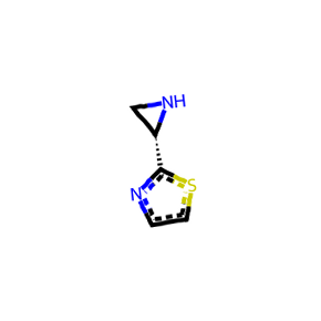 c1csc([C@@H]2CN2)n1